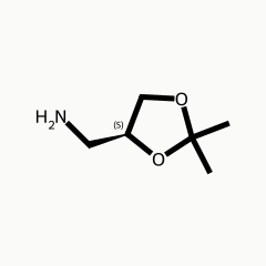 CC1(C)OC[C@H](CN)O1